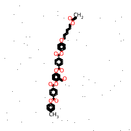 C=CC(=O)OCCCCCCOc1ccc(OC(=O)[C@H]2CC[C@H](C(=O)Oc3ccc(OC(=O)[C@H]4CC[C@H](C(=O)Oc5ccc(C)cc5)CC4)c(C=O)c3)CC2)cc1